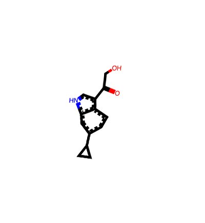 O=C(CO)c1c[nH]c2cc(C3CC3)ccc12